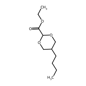 CCCCC1COC(C(=O)OCC)OC1